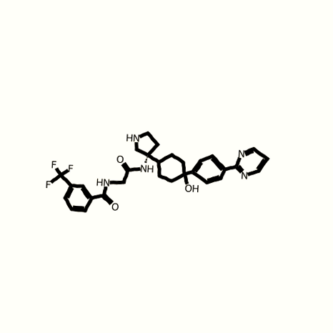 O=C(CNC(=O)c1cccc(C(F)(F)F)c1)N[C@@]1(C2CCC(O)(c3ccc(-c4ncccn4)cc3)CC2)CCNC1